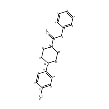 O=C(Cc1ccccc1)N1CCN(c2ccc(Cl)cc2)CC1